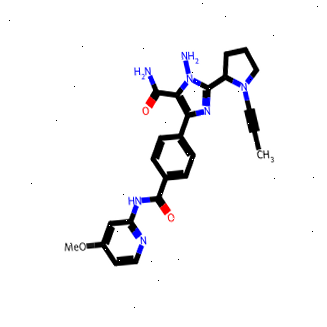 CC#CN1CCCC1c1nc(-c2ccc(C(=O)Nc3cc(OC)ccn3)cc2)c(C(N)=O)n1N